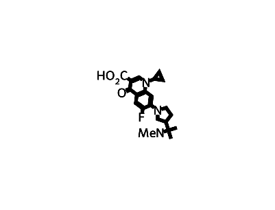 CNC(C)(C)C1CCN(c2cc3c(cc2F)c(=O)c(C(=O)O)cn3C2CC2)C1